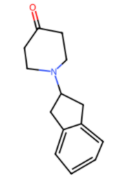 O=C1CCN(C2Cc3ccccc3C2)CC1